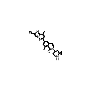 CCc1cn2nc(-c3cc(C)c4c(=O)n(C5CCNC6(CC6)C5)ccc4c3)cc(C)c2n1